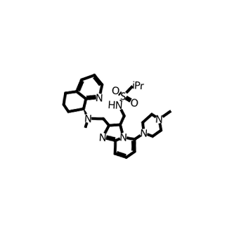 CC(C)S(=O)(=O)NCC1C(CN(C)[C@H]2CCCc3cccnc32)N=C2C=CC=C(N3CCN(C)CC3)N21